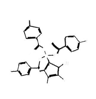 CC1=C(C)C(C)[C]([Ti]([O]C(=O)c2ccc(F)cc2)([O]C(=O)c2ccc(F)cc2)[O]C(=O)c2ccc(F)cc2)=C1C